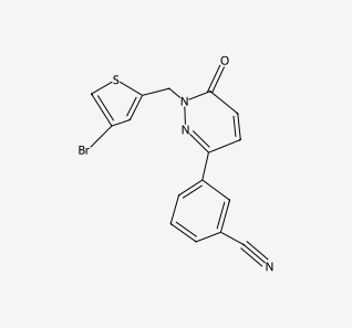 N#Cc1cccc(-c2ccc(=O)n(Cc3cc(Br)cs3)n2)c1